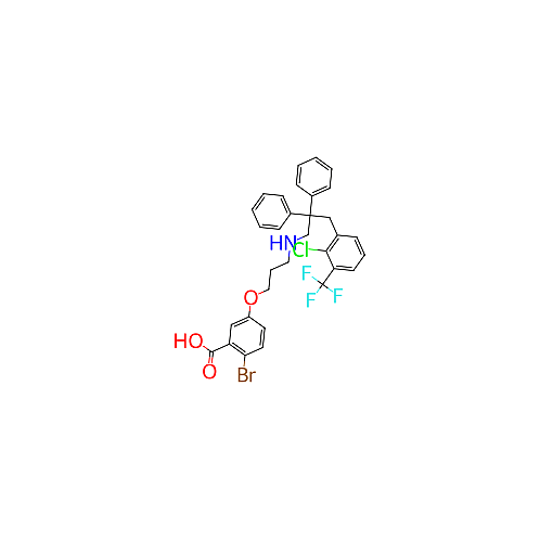 O=C(O)c1cc(OCCCNCC(Cc2cccc(C(F)(F)F)c2Cl)(c2ccccc2)c2ccccc2)ccc1Br